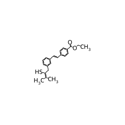 CCOC(=O)c1ccc(C=Cc2cccc(CC(S)=C(C)C)c2)cc1